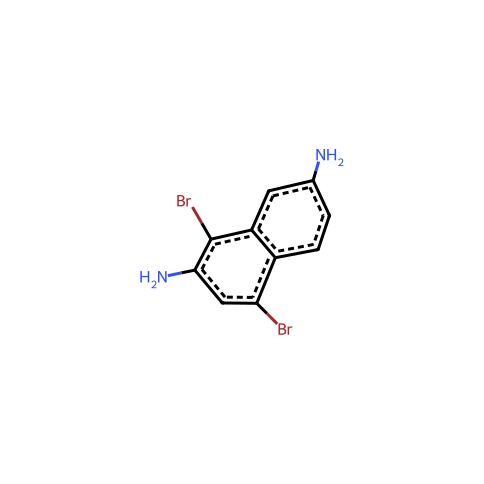 Nc1ccc2c(Br)cc(N)c(Br)c2c1